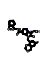 COc1ccccc1CNC(=O)c1ccc2c(c1)N(Cc1cc(F)cc3c1OCOC3)C(=O)/C2=N\O